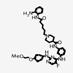 COCCOc1ccc(Nc2ncc(F)c(Nc3cccc(NC(=O)C4CCN(CCCCCC(=O)Nc5ccccc5N)CC4)c3)n2)cc1